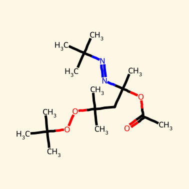 CC(=O)OC(C)(CC(C)(C)OOC(C)(C)C)N=NC(C)(C)C